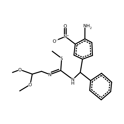 COC(C/N=C(/NC(c1ccccc1)c1ccc(N)c([N+](=O)[O-])c1)SC)OC